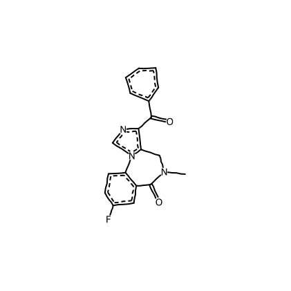 CN1Cc2c(C(=O)c3ccccc3)ncn2-c2ccc(F)cc2C1=O